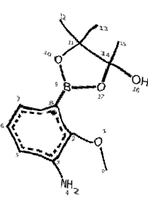 COc1c(N)cccc1B1OC(C)(C)C(C)(O)O1